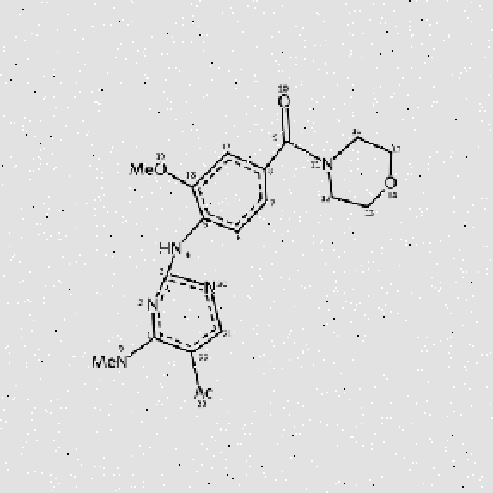 CNc1nc(Nc2ccc(C(=O)N3CCOCC3)cc2OC)ncc1C(C)=O